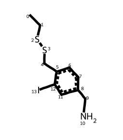 CCSSCc1ccc(CN)cc1I